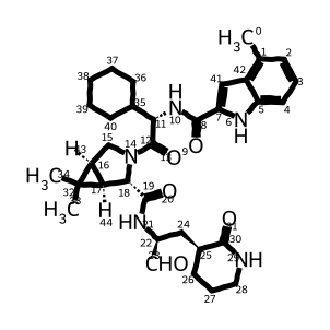 Cc1cccc2[nH]c(C(=O)N[C@H](C(=O)N3C[C@H]4[C@@H]([C@H]3C(=O)N[C@H](C=O)C[C@@H]3CCCNC3=O)C4(C)C)C3CCCCC3)cc12